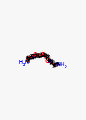 C[Si](C)(O[Si](C)(C)c1ccc(CC(=O)N2CCC(c3cccc(CN)c3)CC2)cc1)c1ccc(CC(=O)N2CCC(c3cccc(CN)c3)CC2)cc1